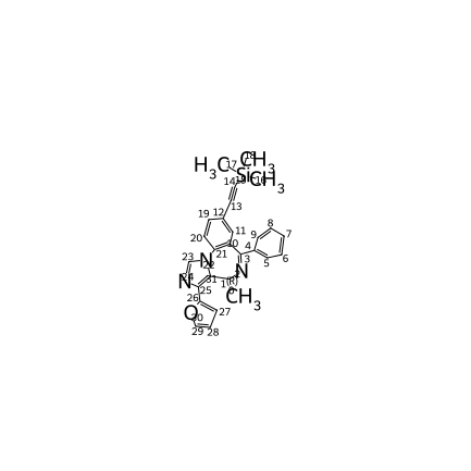 C[C@H]1N=C(c2ccccc2)c2cc(C#C[Si](C)(C)C)ccc2-n2cnc(-c3ccco3)c21